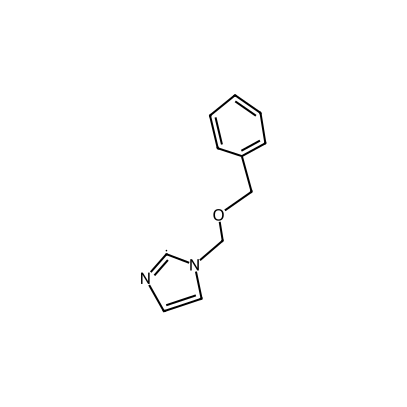 [c]1nccn1COCc1ccccc1